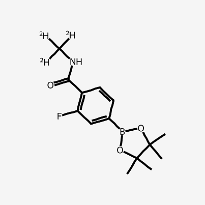 [2H]C([2H])([2H])NC(=O)c1ccc(B2OC(C)(C)C(C)(C)O2)cc1F